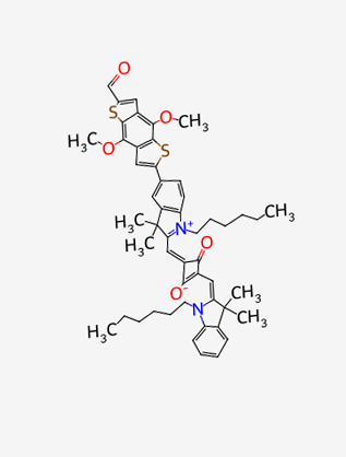 CCCCCCN1/C(=C\C2=C([O-])C(=C/C3=[N+](CCCCCC)c4ccc(-c5cc6c(OC)c7sc(C=O)cc7c(OC)c6s5)cc4C3(C)C)/C2=O)C(C)(C)c2ccccc21